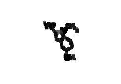 Cn1c(O)cc2cc(O)ccc21